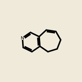 C1=Cc2cnccc2CCC1